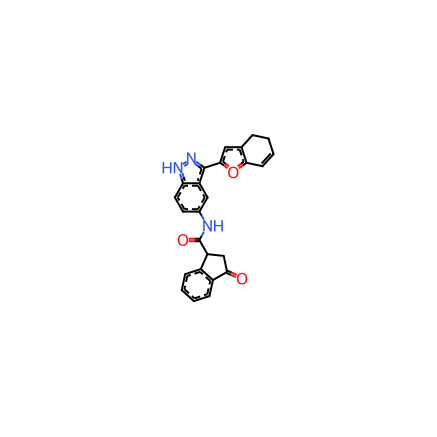 O=C1CC(C(=O)Nc2ccc3[nH]nc(-c4cc5c(o4)C=CCC5)c3c2)c2ccccc21